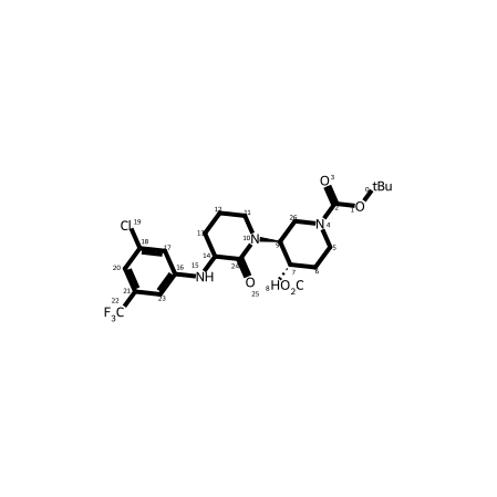 CC(C)(C)OC(=O)N1CC[C@H](C(=O)O)[C@@H](N2CCCC(Nc3cc(Cl)cc(C(F)(F)F)c3)C2=O)C1